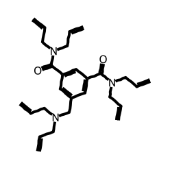 C=CCN(CC=C)Cc1cc(C(=O)N(CC=C)CC=C)cc(C(=O)N(CC=C)CC=C)c1